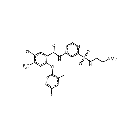 CNCCNS(=O)(=O)c1cc(NC(=O)c2cc(Cl)c(C(F)(F)F)cc2Oc2ccc(F)cc2C)ccn1